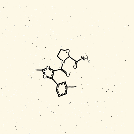 Cc1cccc(-c2oc(C)nc2C(=O)N2CCOC2C(N)=O)c1